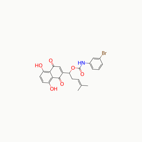 CC(C)=CCC(OC(=O)Nc1cccc(Br)c1)C1=CC(=O)c2c(O)ccc(O)c2C1=O